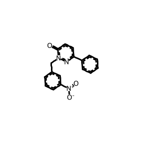 O=c1ccc(-c2ccccc2)nn1Cc1cccc([N+](=O)[O-])c1